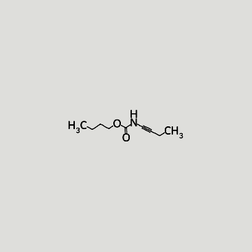 CCC#CNC(=O)OCCCC